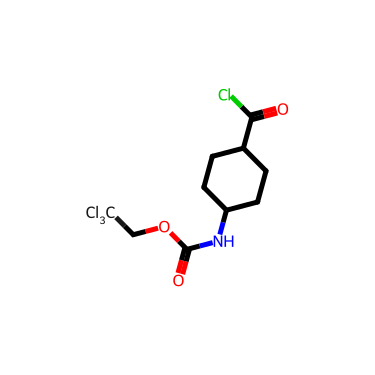 O=C(NC1CCC(C(=O)Cl)CC1)OCC(Cl)(Cl)Cl